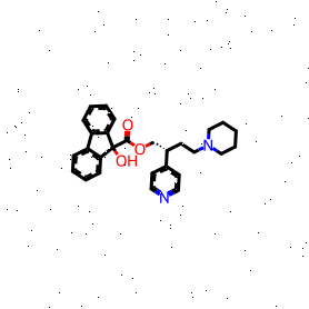 O=C(OC[C@H](CCN1CCCCC1)c1ccncc1)C1(O)c2ccccc2-c2ccccc21